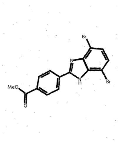 COC(=O)c1ccc(-c2nc3c(Br)ccc(Br)c3[nH]2)cc1